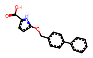 O=C(O)c1ccc(OCc2ccc(-c3ccccc3)cc2)[nH]1